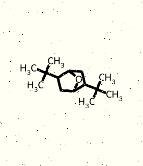 CC(C)(C)C1CC2OC1CC2C(C)(C)C